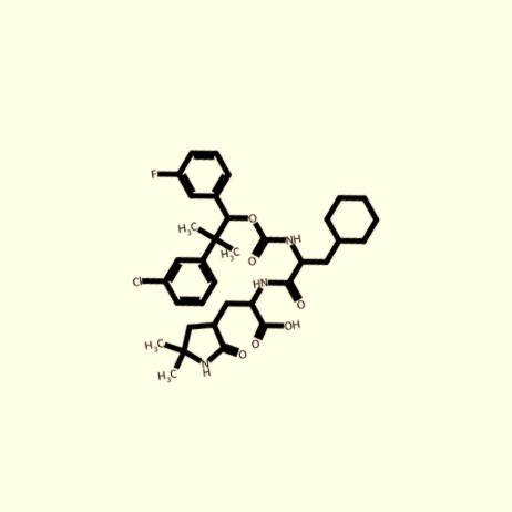 CC1(C)CC(CC(NC(=O)C(CC2CCCCC2)NC(=O)OC(c2cccc(F)c2)C(C)(C)c2cccc(Cl)c2)C(=O)O)C(=O)N1